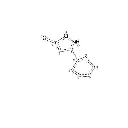 O=c1cc(-c2ccccc2)[nH]o1